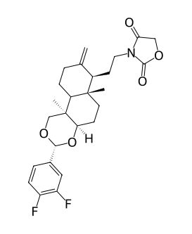 C=C1CCC2[C@]3(C)CO[C@@H](c4ccc(F)c(F)c4)O[C@@H]3CC[C@@]2(C)[C@@H]1CCN1C(=O)COC1=O